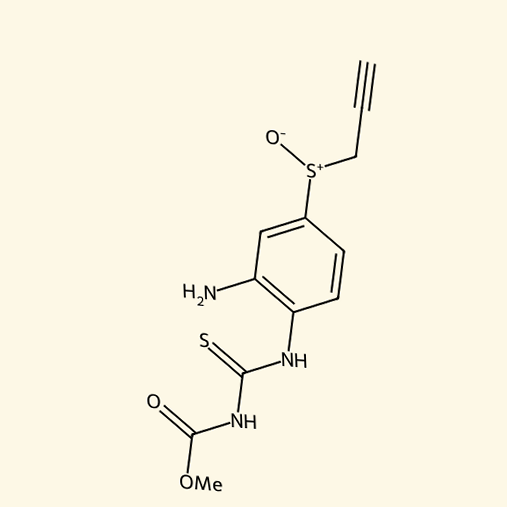 C#CC[S+]([O-])c1ccc(NC(=S)NC(=O)OC)c(N)c1